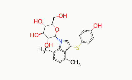 Cc1ccc(C)c2c1c(Sc1ccc(O)cc1)cn2[C@@H]1O[C@H](CO)[C@@H](O)[C@H](O)[C@H]1O